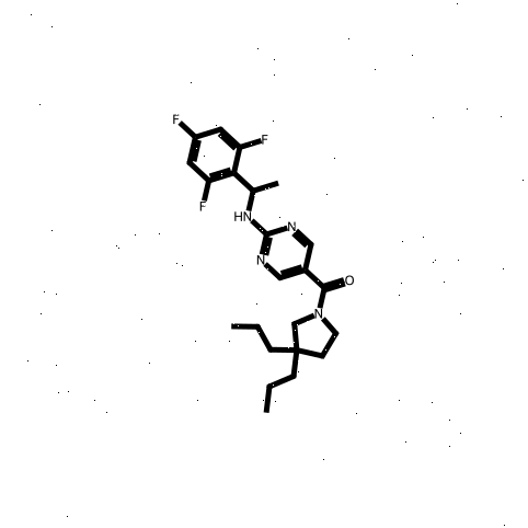 CCCC1(CCC)CCN(C(=O)c2cnc(NC(C)c3c(F)cc(F)cc3F)nc2)C1